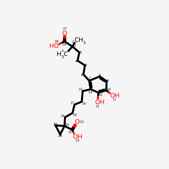 CC(C)(CCCCc1ccc(O)c(O)c1CCCCCC1(C(=O)O)CC1)C(=O)O